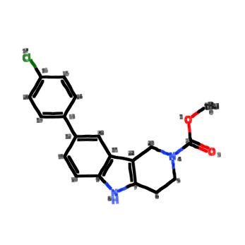 CC(C)(C)OC(=O)N1CCc2[nH]c3ccc(-c4ccc(Cl)cc4)cc3c2C1